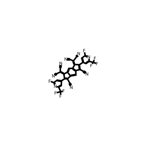 N#CC(C#N)=C1C(c2cc(F)nc(C(F)(F)F)c2)=C(C#N)c2cc3c(cc21)C(=C(C#N)C#N)C(c1cc(F)nc(C(F)(F)F)c1)=C3C#N